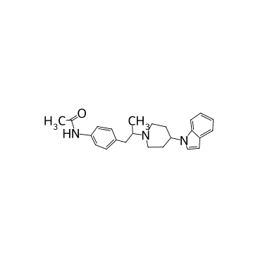 CC(=O)Nc1ccc(CC(C)N2CCC(n3ccc4ccccc43)CC2)cc1